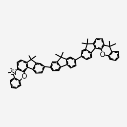 CC1(C)c2cc(-c3ccc4c(c3)C(C)(C)c3ccc5c(c3-4)Oc3ccccc3C5(C)C)ccc2-c2ccc(-c3ccc4c(c3)C(C)(C)c3ccc5c(c3-4)Oc3ccccc3[Si]5(C)C)cc21